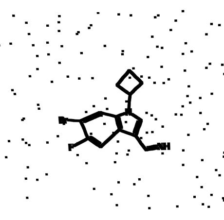 N=Cc1cn(C2CCC2)c2cc(Br)c(F)cc12